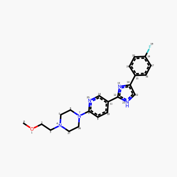 COCCN1CCN(c2ccc(-c3nc(-c4ccc(F)cc4)c[nH]3)cn2)CC1